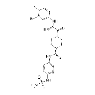 N=C(Nc1ccc(F)c(Br)c1)C(=O)C1CCN(C(=O)Nc2ccc(NS(N)(=O)=O)nc2)CC1